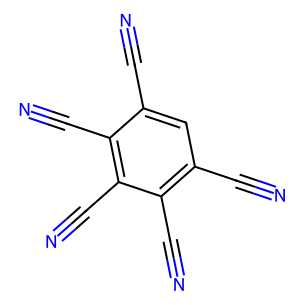 N#Cc1cc(C#N)c(C#N)c(C#N)c1C#N